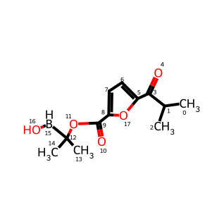 CC(C)C(=O)c1ccc(C(=O)OC(C)(C)BO)o1